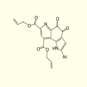 C=CCOC(=O)c1cc(C(=O)OCC=C)c2c(n1)C(=O)C(=O)c1cc(C(C)=O)[nH]c1-2